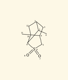 CC1C2CC3CS(=O)(=O)C1C3(C)C2